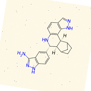 Nc1n[nH]c2ccc([C@@H]3Nc4ccc5cn[nH]c5c4[C@H]4C5CCC(C5)[C@@H]34)cc12